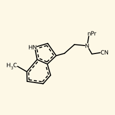 CCCN(CC#N)CCc1c[nH]c2c(C)cccc12